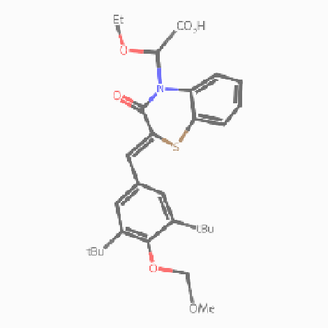 CCOC(C(=O)O)N1C(=O)C(=Cc2cc(C(C)(C)C)c(OCOC)c(C(C)(C)C)c2)Sc2ccccc21